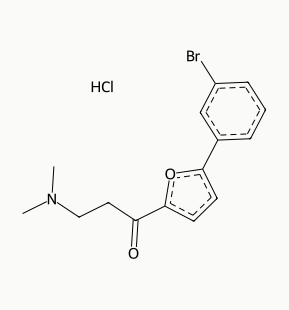 CN(C)CCC(=O)c1ccc(-c2cccc(Br)c2)o1.Cl